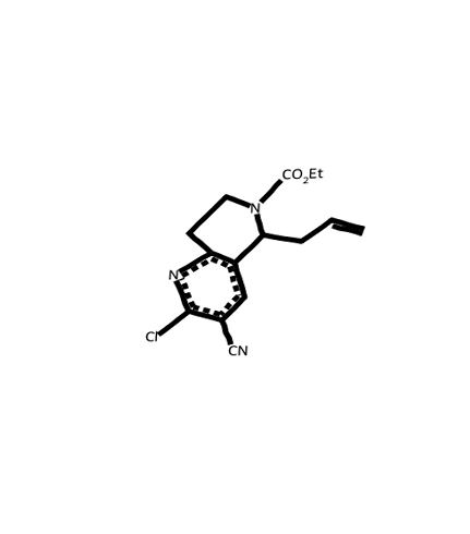 C=CCC1c2cc(C#N)c(Cl)nc2CCN1C(=O)OCC